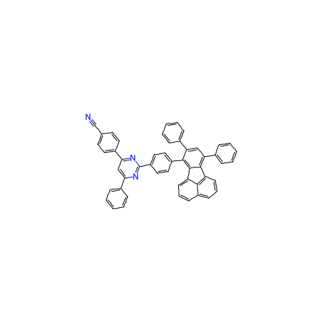 N#Cc1ccc(-c2cc(-c3ccccc3)nc(-c3ccc(-c4c(-c5ccccc5)cc(-c5ccccc5)c5c4-c4cccc6cccc-5c46)cc3)n2)cc1